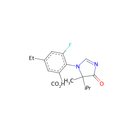 CCc1cc(F)c(N2C=NC(=O)C2(C)C(C)C)c(C(=O)O)c1